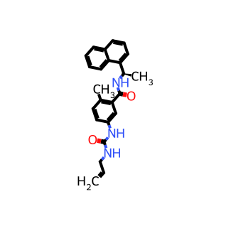 C=CCNC(=O)Nc1ccc(C)c(C(=O)N[C@H](C)c2cccc3ccccc23)c1